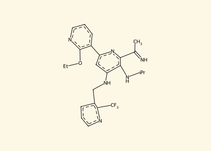 CCOc1ncccc1-c1cc(NCc2cccnc2C(F)(F)F)c(NC(C)C)c(C(C)=N)n1